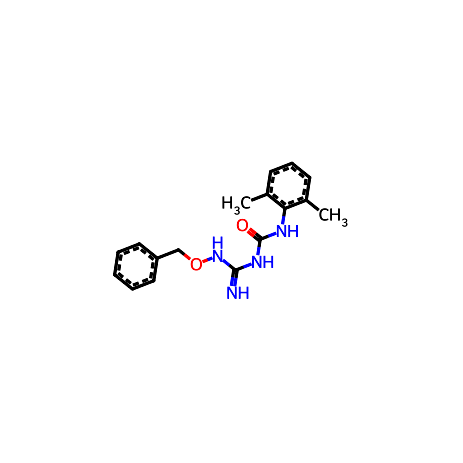 Cc1cccc(C)c1NC(=O)NC(=N)NOCc1ccccc1